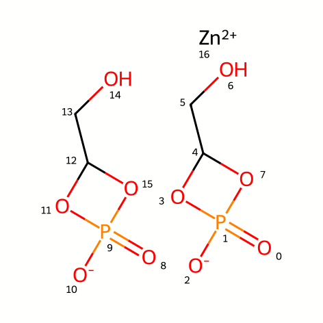 O=P1([O-])OC(CO)O1.O=P1([O-])OC(CO)O1.[Zn+2]